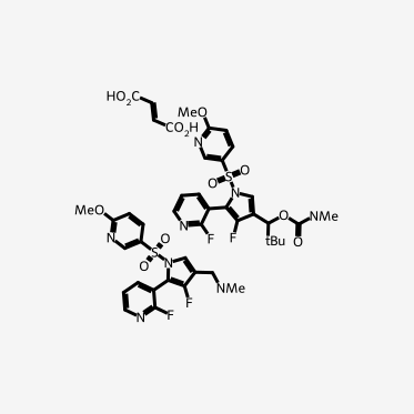 CNC(=O)OC(c1cn(S(=O)(=O)c2ccc(OC)nc2)c(-c2cccnc2F)c1F)C(C)(C)C.CNCc1cn(S(=O)(=O)c2ccc(OC)nc2)c(-c2cccnc2F)c1F.O=C(O)/C=C/C(=O)O